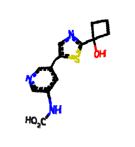 O=C(O)Nc1cncc(-c2cnc(C3(O)CCC3)s2)c1